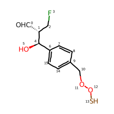 O=C[C@H](CF)[C@H](O)c1ccc(COOS)cc1